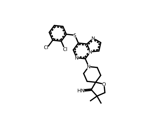 CC1(C)COC2(CCN(c3ncc(Sc4cccc(Cl)c4Cl)c4nccn34)CC2)C1=N